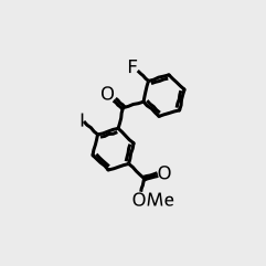 COC(=O)c1ccc(I)c(C(=O)c2ccccc2F)c1